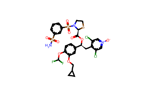 NS(=O)(=O)c1cccc(S(=O)(=O)N2CCS[C@H]2C(=O)O[C@@H](Cc2c(Cl)c[n+]([O-])cc2Cl)c2ccc(OC(F)F)c(OCC3CC3)c2)c1